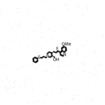 COc1ccc2nccc([C@@H](F)CC[C@@H]3CCN(CCCSc4ccccc4)C[C@@H]3CO)c2c1